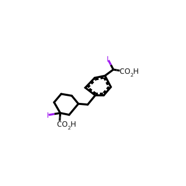 O=C(O)C(I)c1ccc(CC2CCCC(I)(C(=O)O)C2)cc1